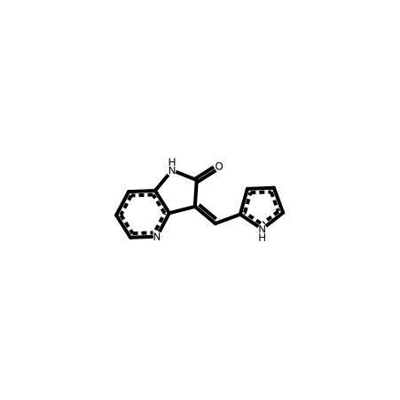 O=C1Nc2cccnc2/C1=C/c1ccc[nH]1